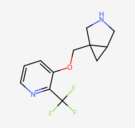 FC(F)(F)c1ncccc1OCC12CNCC1C2